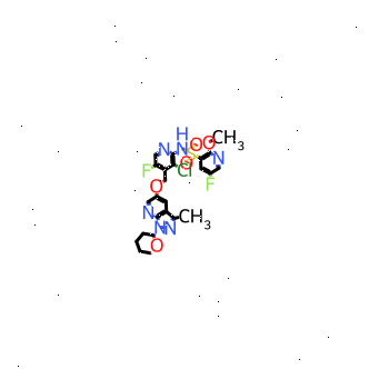 COc1ncc(F)cc1S(=O)(=O)Nc1ncc(F)c(COc2cnc3c(c2)c(C)nn3C2CCCCO2)c1Cl